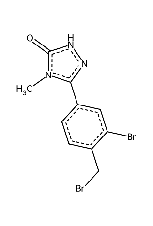 Cn1c(-c2ccc(CBr)c(Br)c2)n[nH]c1=O